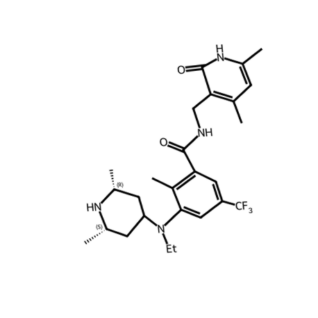 CCN(c1cc(C(F)(F)F)cc(C(=O)NCc2c(C)cc(C)[nH]c2=O)c1C)C1C[C@@H](C)N[C@@H](C)C1